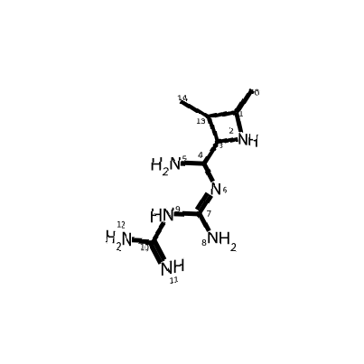 CC1NC(C(N)/N=C(/N)NC(=N)N)C1C